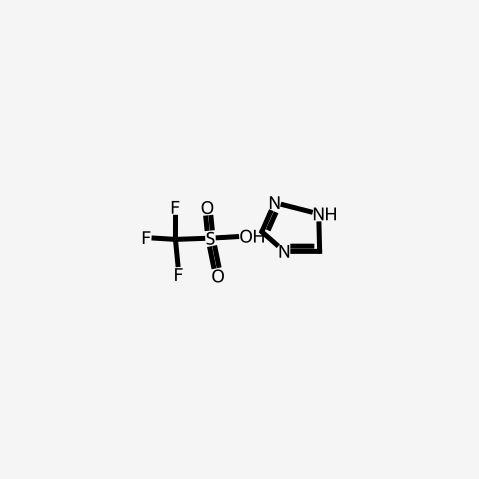 O=S(=O)(O)C(F)(F)F.c1nc[nH]n1